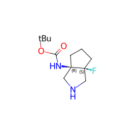 CC(C)(C)OC(=O)N[C@@]12CCC[C@]1(F)CNC2